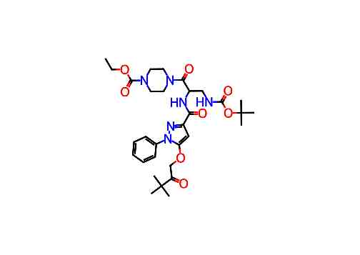 CCOC(=O)N1CCN(C(=O)C(CNC(=O)OC(C)(C)C)NC(=O)c2cc(OCC(=O)C(C)(C)C)n(-c3ccccc3)n2)CC1